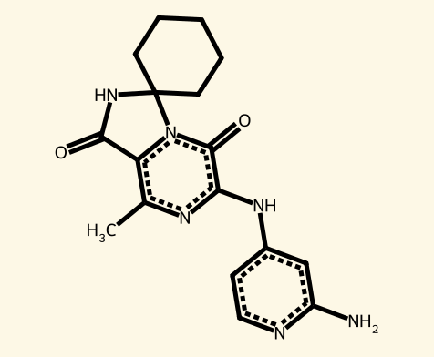 Cc1nc(Nc2ccnc(N)c2)c(=O)n2c1C(=O)NC21CCCCC1